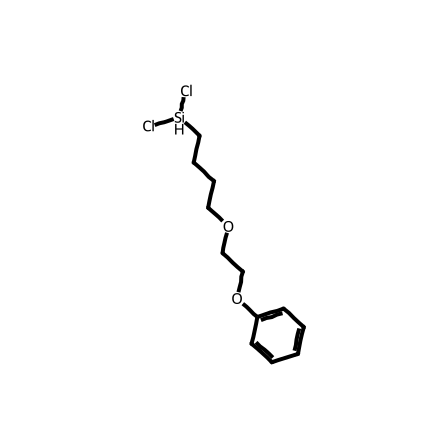 Cl[SiH](Cl)CCCCOCCOc1ccccc1